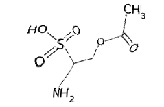 CC(=O)OCC(N)S(=O)(=O)O